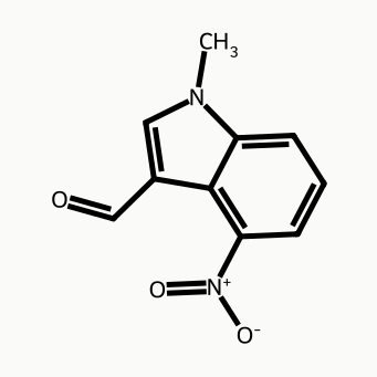 Cn1cc(C=O)c2c([N+](=O)[O-])cccc21